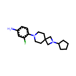 Nc1ccc(N2CCC3(CC2)CN(C2CCCC2)C3)c(F)c1